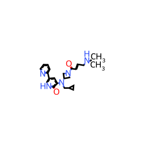 CC(C)NCC=CC(=O)N1CC(N(CC2CC2)c2cc(-c3ccccn3)c[nH]c2=O)C1